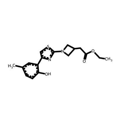 CCOC(=O)CC1CN(c2nc(-c3cc(C)ccc3O)cs2)C1